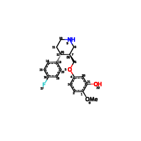 COc1ccc(OC[C@@H]2CNCC[C@H]2c2ccc(F)cc2)cc1O